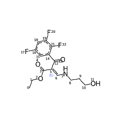 CCOC(=O)/C(=C/NCCCO)C(=O)c1cc(F)cc(F)c1F